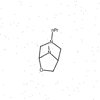 CCCN1CC2COC(C1)N2C